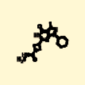 BNC(=O)N1CC(c2nc3c(c(C)nn3C3CCCCC3)c(=O)[nH]2)C1